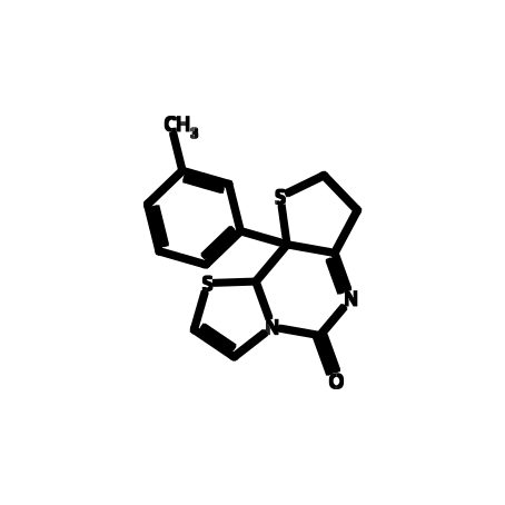 Cc1cccc(C23SCCC2=NC(=O)N2C=CSC23)c1